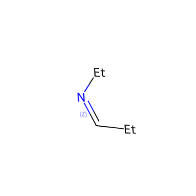 [13CH3]C/C=N\[13CH2][13CH3]